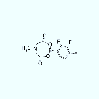 CN1CC(=O)OB(c2ccc(F)c(F)c2F)OC(=O)C1